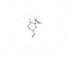 C=CC1CCC(C)C2(C1)N=N2